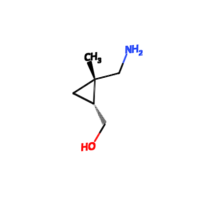 C[C@]1(CN)C[C@H]1CO